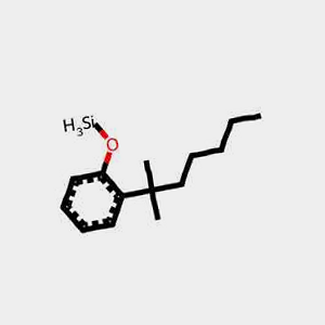 CCCCCC(C)(C)c1ccccc1O[SiH3]